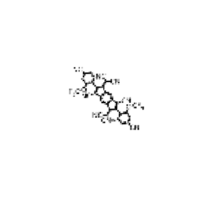 N#CC(C#N)=C1C(c2ccc(C#N)cc2OC(F)(F)F)=C(C#N)c2cc3c(cc21)C(C#N)=C(c1c(F)cc(C#N)cc1OC(F)(F)F)C3=C(C#N)C#N